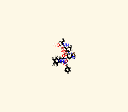 CC[C@H](C)[C@@H](CO)NC(=O)C[C@H](O)[C@H](CC(C)C)NC(=O)C(Cc1cscn1)NC(=O)[C@H](Cc1c(C)c(C)c(C)c(C)c1C)NC(=O)OCc1ccccc1